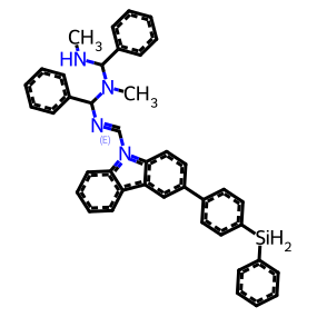 CNC(c1ccccc1)N(C)C(/N=C/n1c2ccccc2c2cc(-c3ccc([SiH2]c4ccccc4)cc3)ccc21)c1ccccc1